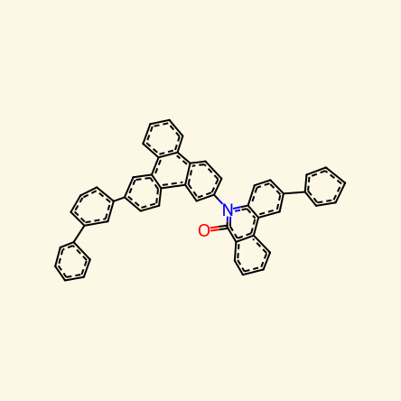 O=c1c2ccccc2c2cc(-c3ccccc3)ccc2n1-c1ccc2c3ccccc3c3cc(-c4cccc(-c5ccccc5)c4)ccc3c2c1